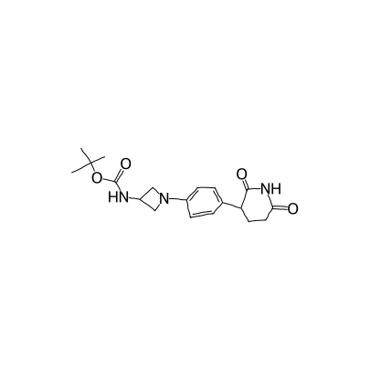 CC(C)(C)OC(=O)NC1CN(c2ccc(C3CCC(=O)NC3=O)cc2)C1